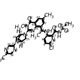 Cc1cc([C@@H](C)Nc2ccc(Cl)nc2C(=O)NS(C)(=O)=O)c2nc(N3C[C@@H]4C[C@H]3CN4c3cnc(C)cn3)n(C)c(=O)c2c1